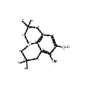 CC1(C)Cc2cc(C=O)c(O)c3c2N(C1)CC(C)(C)C3